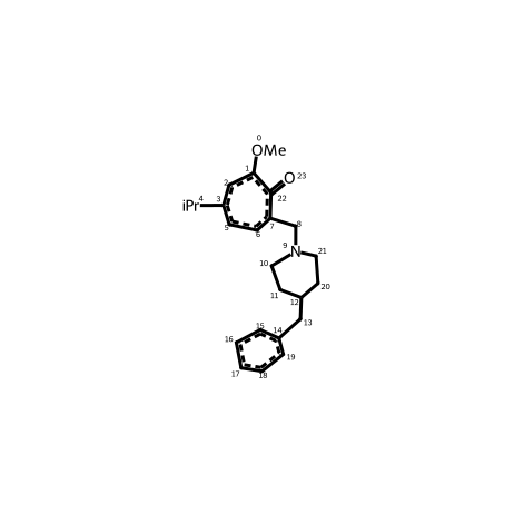 COc1cc(C(C)C)ccc(CN2CCC(Cc3ccccc3)CC2)c1=O